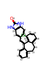 O=c1[nH]c2ccc(/C=C3/c4ccccc4CCc4cccc(Cl)c43)cc2[nH]1